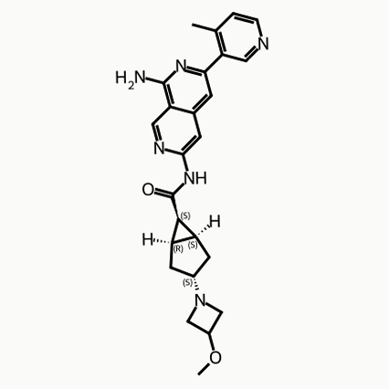 COC1CN([C@@H]2C[C@@H]3[C@H](C2)[C@@H]3C(=O)Nc2cc3cc(-c4cnccc4C)nc(N)c3cn2)C1